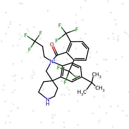 CC(C)(C)c1ccc2c(c1)C1(CCNCC1)C[N+]2(CCC(F)(F)F)C(=O)c1c(C(F)(F)F)cccc1C(F)(F)F